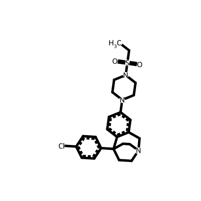 CCS(=O)(=O)N1CCN(c2ccc3c(c2)CN2CCC3(c3ccc(Cl)cc3)CC2)CC1